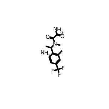 Cc1cc(C(F)(F)F)ccc1C(C)N(C)C(=O)C(N)=O.N